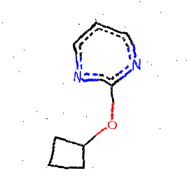 [c]1cnc(OC2CCC2)nc1